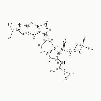 Cn1nc(C(F)F)cc1Nc1nncn1[C@H]1CCc2sc(NC(=O)C3CC3)c(C(=O)NC3CC(F)(F)C3)c2C1